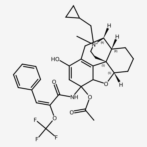 CC(=O)OC1(NC(=O)C(=Cc2ccccc2)OC(F)(F)F)C=C(O)C2=C3C1O[C@H]1CCC[C@H]4[C@@H](C2)[N+](C)(CC2CC2)CC[C@]314